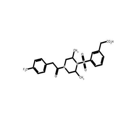 CC1CN(C(=O)Cc2ccc(C(F)(F)F)cc2)CC(C)N1S(=O)(=O)c1cccc(CC(=O)O)c1